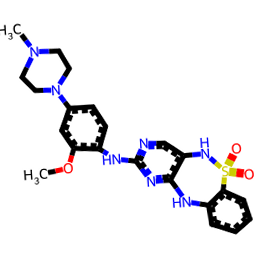 COc1cc(N2CCN(C)CC2)ccc1Nc1ncc2c(n1)Nc1ccccc1S(=O)(=O)N2